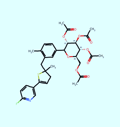 CC(=O)OC[C@H]1OC(c2ccc(C)c(CC3(C)CC=C(c4ccc(F)nc4)S3)c2)[C@H](OC(C)=O)[C@@H](OC(C)=O)[C@@H]1OC(C)=O